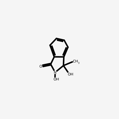 CC1(O)c2ccccc2C(=O)N1O